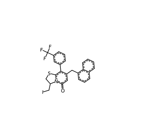 O=c1cc(Cc2cccc3ccccc23)c(-c2cccc(C(F)(F)F)c2)c2n1C(CI)CS2